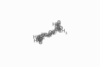 Cn1c(=O)n(C2CCC(=O)NC2=O)c2ccc(C3CCN(CC(=O)N4CC[C@@H](COc5ccc6cc(O)c(N7CC(=O)NS7(=O)=O)c(F)c6c5)C4)CC3)cc21